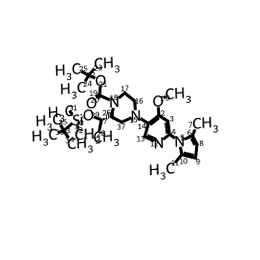 COc1cc(-n2c(C)ccc2C)ncc1N1CCN(C(=O)OC(C)(C)C)[C@@H](C(C)O[Si](C)(C)C(C)(C)C)C1